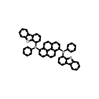 c1ccc(N(c2ccc3ccc4c(N(c5ccccc5)c5cccc6c5sc5ccccc56)ccc5ccc2c3c54)c2cccc3c2oc2ccccc23)cc1